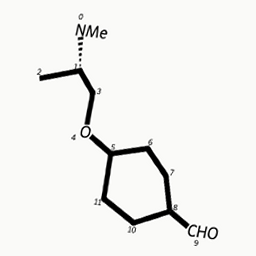 CN[C@@H](C)COC1CCC(C=O)CC1